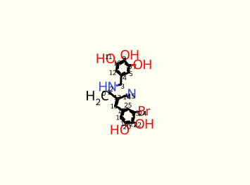 C=C(NCc1cc(O)c(O)c(O)c1)/C(C#N)=C/c1cc(O)c(O)c(Br)c1